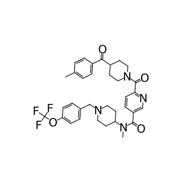 Cc1ccc(C(=O)C2CCN(C(=O)c3ccc(C(=O)N(C)C4CCN(Cc5ccc(OC(F)(F)F)cc5)CC4)cn3)CC2)cc1